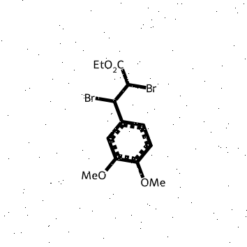 CCOC(=O)C(Br)C(Br)c1ccc(OC)c(OC)c1